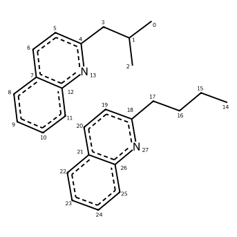 CC(C)Cc1ccc2ccccc2n1.CCCCc1ccc2ccccc2n1